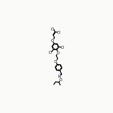 CCC(C)O/N=C/c1ccc(OCCOc2c(Cl)cc(OCC=C(Cl)Cl)cc2Cl)cc1